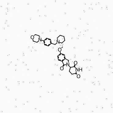 O=C1CCC(N2Cc3cc(OC[C@H]4CCCCN4Cc4ccc(N5CCOCC5)cc4)ccc3C2=O)C(=O)N1